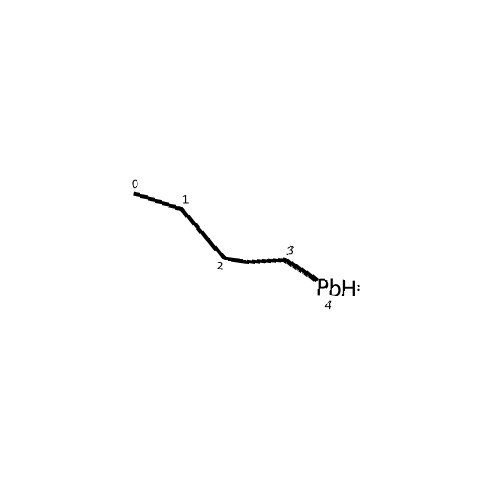 CCC[CH2][PbH]